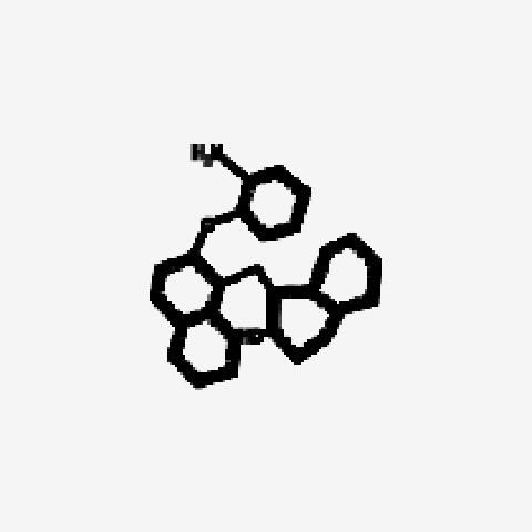 Nc1ccccc1Oc1ccc2ccccc2c1Cc1c(O)ccc2ccccc12